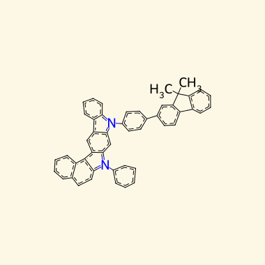 CC1(C)c2ccccc2-c2ccc(-c3ccc(-n4c5ccccc5c5cc6c7c8ccccc8ccc7n(-c7ccccc7)c6cc54)cc3)cc21